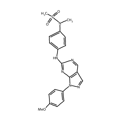 COc1ccc(-n2ncc3cnc(Nc4ccc(N(C)S(C)(=O)=O)cc4)nc32)cc1